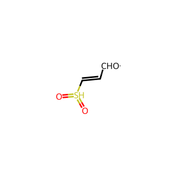 O=[C]C=C[SH](=O)=O